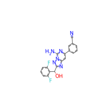 N#Cc1cccc(-c2cc3nc(C(O)c4c(F)cccc4F)nn3c(N)n2)c1